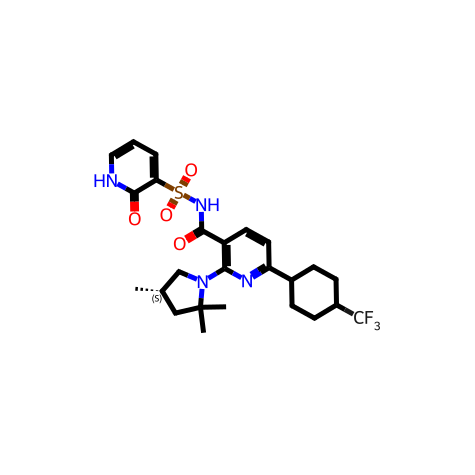 C[C@@H]1CN(c2nc(C3CCC(C(F)(F)F)CC3)ccc2C(=O)NS(=O)(=O)c2ccc[nH]c2=O)C(C)(C)C1